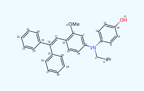 COc1cc(N(CC(C)C)c2ccc(O)cc2)ccc1C=C(c1ccccc1)c1ccccc1